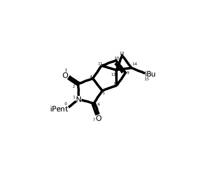 CCCC(C)N1C(=O)C2C(C1=O)C1C=CC2C12CC2C(C)CC